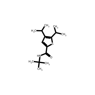 CC(C)c1cc(C(=O)NC(C)(C)C)sc1C(C)C